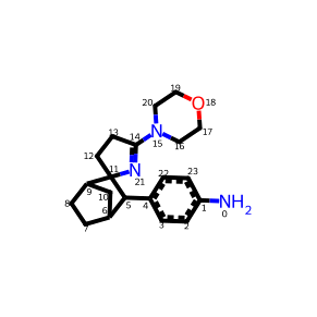 Nc1ccc(C2C3CCC(C3)C23CCC(N2CCOCC2)=N3)cc1